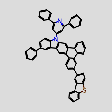 c1ccc(-c2ccc3c(c2)c2cc4c5ccc(-c6ccc7sc8ccccc8c7c6)cc5c5ccccc5c4cc2n3-c2cc(-c3ccccc3)nc(-c3ccccc3)c2)cc1